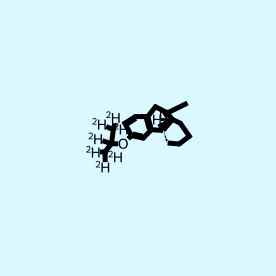 [2H]C([2H])([2H])C([2H])(Oc1ccc2c(c1)[C@]13CCCC[C@H]1C(C2)N(C)CC3)C([2H])([2H])[2H]